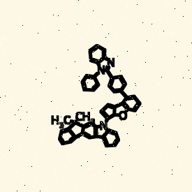 CC1(C)c2ccccc2-c2cc3c4ccccc4n(C4=CC=C5c6c(cccc6-c6ccc(-c7nc8ccccc8n7-c7ccccc7)cc6)OC54)c3cc21